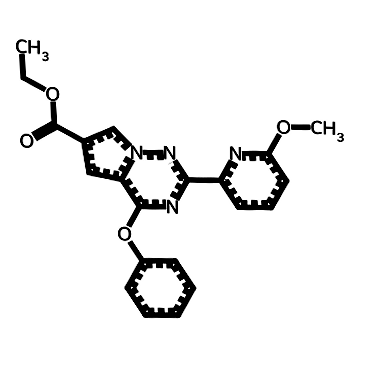 CCOC(=O)c1cc2c(Oc3ccccc3)nc(-c3cccc(OC)n3)nn2c1